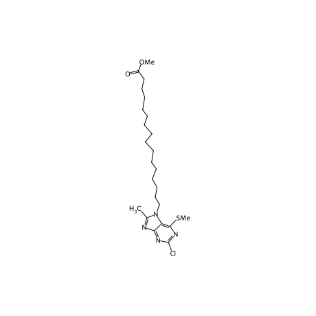 COC(=O)CCCCCCCCCCCCCCCn1c(C)nc2nc(Cl)nc(SC)c21